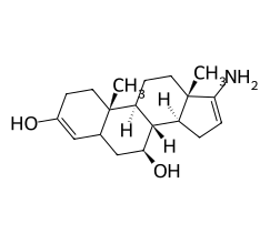 C[C@]12CCC(O)=CC1C[C@H](O)[C@@H]1[C@@H]2CC[C@]2(C)C(N)=CC[C@@H]12